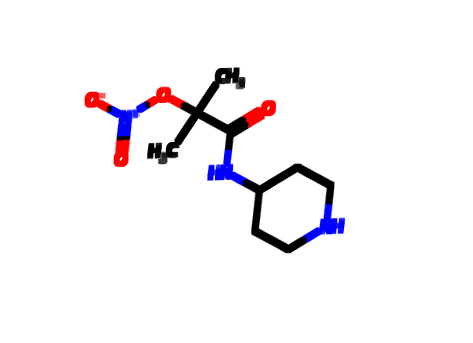 CC(C)(O[N+](=O)[O-])C(=O)NC1CCNCC1